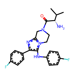 CC(C)[C@H](N)C(=O)N1CCn2c(nc(-c3ccc(F)cc3)c2Nc2ccc(F)cc2)C1